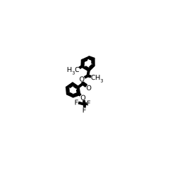 Cc1ccccc1C(C)OC(=O)c1ccccc1OC(F)(F)F